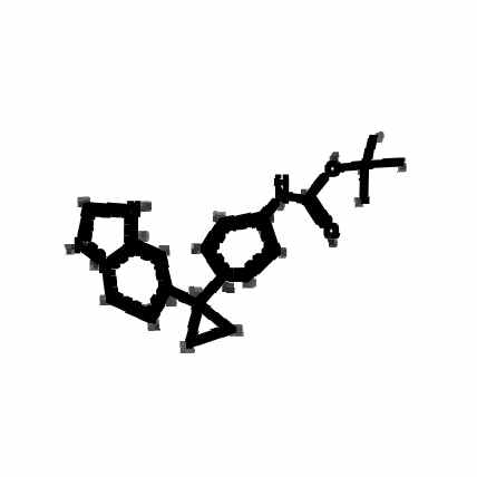 CC(C)(C)OC(=O)Nc1ccc(C2(c3ccn4ncnc4c3)CC2)cc1